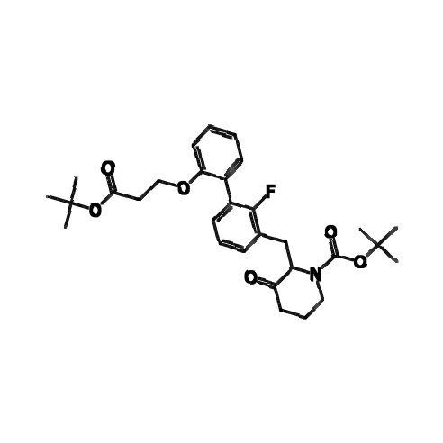 CC(C)(C)OC(=O)CCOc1ccccc1-c1cccc(CC2C(=O)CCCN2C(=O)OC(C)(C)C)c1F